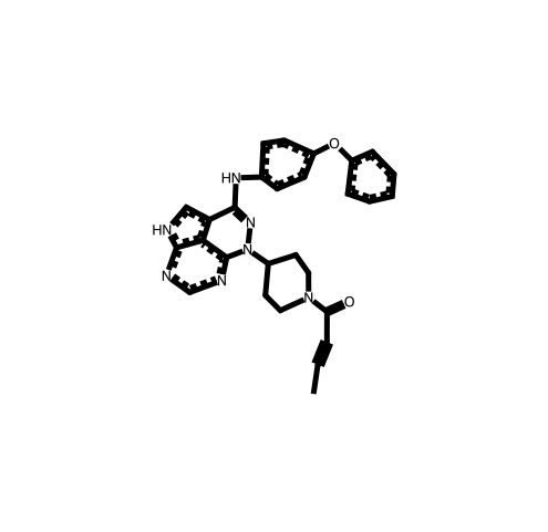 CC#CC(=O)N1CCC(N2N=C(Nc3ccc(Oc4ccccc4)cc3)c3c[nH]c4ncnc2c34)CC1